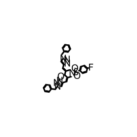 O=C1C(=Cc2cn(Cc3ccccc3)nn2)CN(S(=O)(=O)c2ccc(F)cc2)CC1=Cc1cn(Cc2ccccc2)nn1